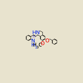 COc1cc2c(cc1OCc1ccccc1)CCNC2/C=C/c1ccccc1N